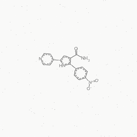 NC(=O)c1cc(-c2ccncc2)[nH]c1-c1ccc([N+](=O)[O-])cc1